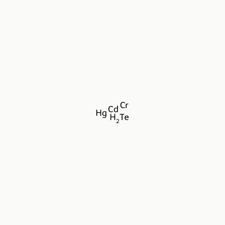 [Cd].[Cr].[Hg].[TeH2]